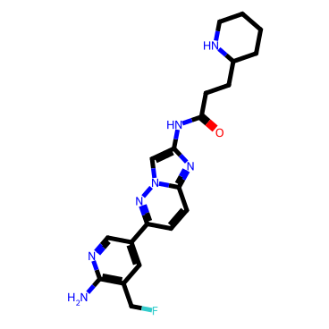 Nc1ncc(-c2ccc3nc(NC(=O)CCC4CCCCN4)cn3n2)cc1CF